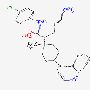 CC1(C(CCCN)C(O)NC2=CC=C(Cl)CC2)CCC(C2C=CN=C3C=CC=CC32)CC1